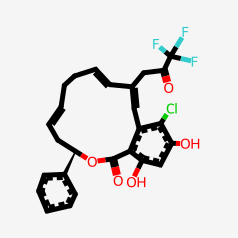 O=C1O[C@@H](c2ccccc2)C/C=C/CC/C=C/C(CC(=O)C(F)(F)F)=C/c2c(Cl)c(O)cc(O)c21